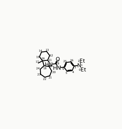 CCN(CC)c1ccc(NC(=O)NC2CCCCC2(C)C2CCCCCC2)cc1